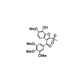 COc1cc(C(=O)c2c(S(C)(=O)=O)oc3c(O)c(OC)ccc23)cc(OC)c1OC